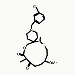 COC1CCCN(C)C2(CCN(Cc3cccc(Cl)c3)CC2)COC(=O)C(C)C(=O)CC1